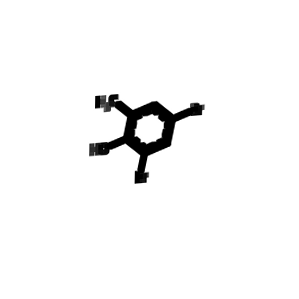 Cc1cc(Br)cc(Br)c1O